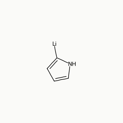 [Li][c]1ccc[nH]1